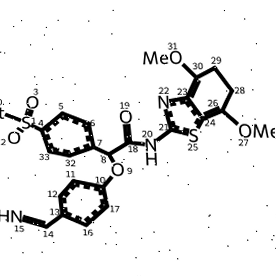 CCS(=O)(=O)c1ccc(C(Oc2ccc(C=N)cc2)C(=O)Nc2nc3c(s2)=C(OC)CCC=3OC)cc1